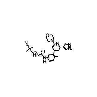 Cc1ccc(NC(=O)NCCC(C)(C)C#N)cc1-c1cc(-c2cnn(C)c2)nc(N2CCOCC2)c1